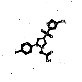 Cn1cnc(S(=O)(=O)N2C[C@H](NC(=O)O)[C@@H](c3ccc(F)cc3)C2)c1